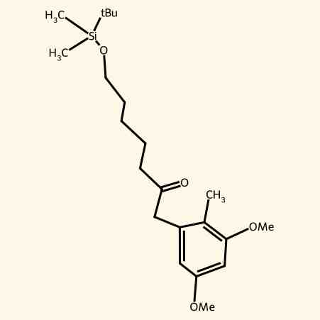 COc1cc(CC(=O)CCCCCO[Si](C)(C)C(C)(C)C)c(C)c(OC)c1